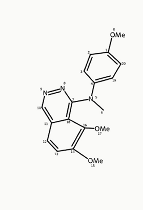 COc1ccc(N(C)c2nncc3ccc(OC)c(OC)c23)cc1